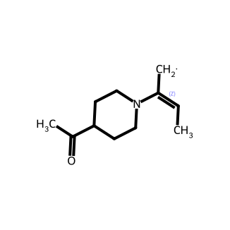 [CH2]/C(=C/C)N1CCC(C(C)=O)CC1